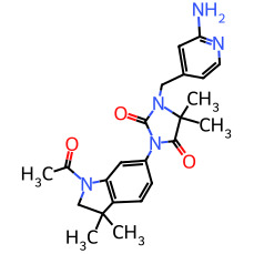 CC(=O)N1CC(C)(C)c2ccc(N3C(=O)N(Cc4ccnc(N)c4)C(C)(C)C3=O)cc21